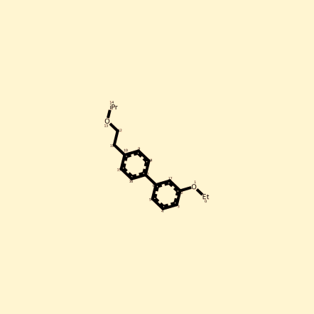 CCOc1cccc(-c2ccc(CCOC(C)C)cc2)c1